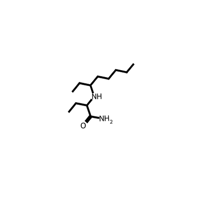 CCCCCC(CC)NC(CC)C(N)=O